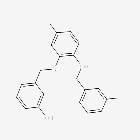 Oc1cccc(CNc2ccc(F)cc2NCc2cccc(O)c2)c1